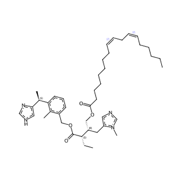 CCCCC/C=C\C/C=C\CCCCCCCC(=O)OC[C@H](Cc1cncn1C)[C@H](CC)C(=O)OCc1cccc([C@H](C)c2c[nH]cn2)c1C